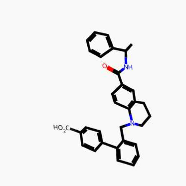 CC(NC(=O)c1ccc2c(c1)CCCN2Cc1ccccc1-c1ccc(C(=O)O)cc1)c1ccccc1